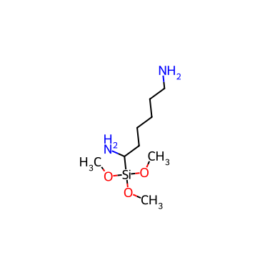 CO[Si](OC)(OC)C(N)CCCCCN